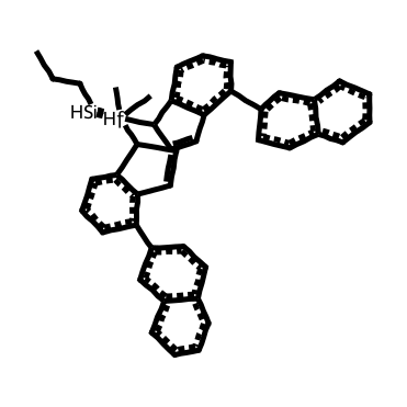 CCC[SiH]=[Hf]([CH3])([CH3])([CH]1C=Cc2c(-c3ccc4ccccc4c3)cccc21)[CH]1C=Cc2c(-c3ccc4ccccc4c3)cccc21